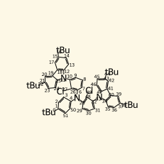 CC(C)(C)c1ccc(N(c2cccc(-n3c4ccc(C(C)(C)C)cc4c4cc(C(C)(C)C)ccc43)c2Cl)c2cccc(-n3c4ccc(C(C)(C)C)cc4c4cc(C(C)(C)C)ccc43)c2Cl)cc1